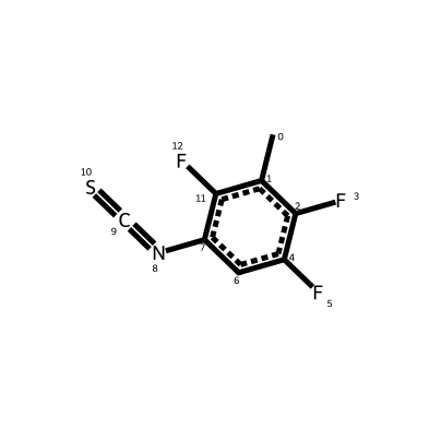 Cc1c(F)c(F)cc(N=C=S)c1F